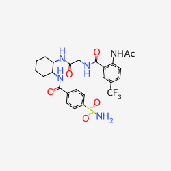 CC(=O)Nc1ccc(C(F)(F)F)cc1C(=O)NCC(=O)N[C@@H]1CCCC[C@@H]1NC(=O)c1ccc(S(N)(=O)=O)cc1